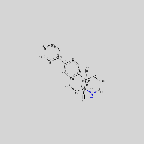 c1ccc(-c2ccc3c(c2)CC[C@H]2NCCC[C@H]32)cc1